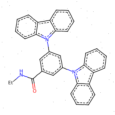 CCNC(=O)c1cc(-n2c3ccccc3c3ccccc32)cc(-n2c3ccccc3c3ccccc32)c1